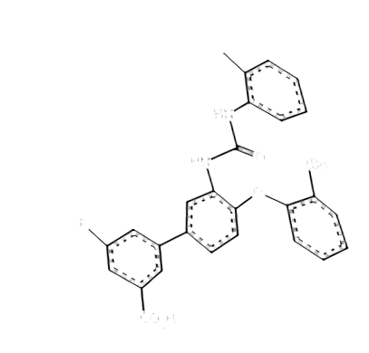 Cc1ccccc1NC(=O)Nc1cc(-c2cc(F)cc(C(=O)O)c2)ccc1Oc1ccccc1C(C)(C)C